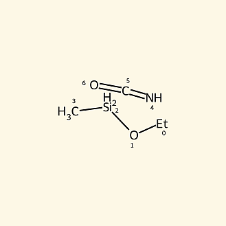 CCO[SiH2]C.N=C=O